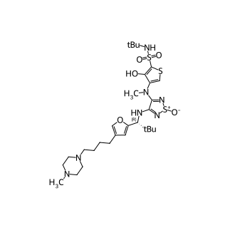 CN1CCN(CCCCc2coc([C@H](Nc3n[s+]([O-])nc3N(C)c3csc(S(=O)(=O)NC(C)(C)C)c3O)C(C)(C)C)c2)CC1